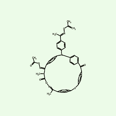 C=C(C)O/N=C(\C)c1ccc(N2c3ccc(cc3)C(=O)c3ccc(cc3)Sc3ccc(cc3)C(C)=NOC(=O)C(C)C(=NOC(C)=O)c3ccc2cc3)cc1